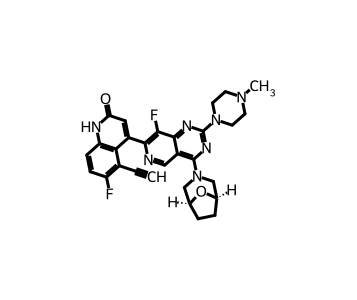 C#Cc1c(F)ccc2[nH]c(=O)cc(-c3ncc4c(N5C[C@H]6CC[C@@H](C5)O6)nc(N5CCN(C)CC5)nc4c3F)c12